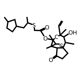 C=CC1(C)CC(OC(=O)CSC(C)CC2CCC(C)C2)C2(C)C(C)CCC3(CCC(=O)C32)C(C)C1O